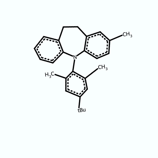 Cc1ccc2c(c1)CCc1ccccc1N2c1c(C)cc(C(C)(C)C)cc1C